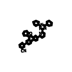 N#Cc1cccc(-c2ccc3c4ccc(-c5cccc(-c6nc(-c7ccccc7)nc(-c7ccccc7)n6)n5)cc4c4oc5ccccc5c4c3c2)c1